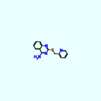 Nc1nc(SCc2ccccn2)nc2ccccc12